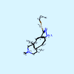 CC(C)Sc1n[nH]c2c1C[C@H]1CN(C)CC[C@@H]1C2